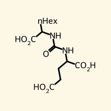 CCCCCCC(NC(=O)NC(CCC(=O)O)C(=O)O)C(=O)O